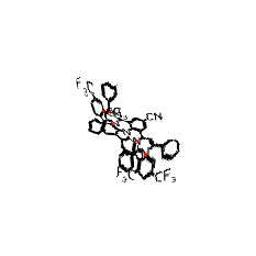 N#Cc1cc(-c2cc(-c3ccccc3)nc(-c3ccccc3)n2)c(-n2c3cc(-c4ccc(C(F)(F)F)cc4C(F)(F)F)ccc3c3ccc(-c4ccc(C(F)(F)F)cc4C(F)(F)F)cc32)c(-c2nc(-c3ccccc3)cc(-c3ccccc3)n2)c1